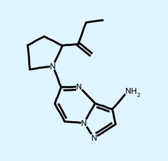 C=C(CC)C1CCCN1c1ccn2ncc(N)c2n1